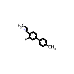 Cc1ccc(-c2ccc(/C=C/C(F)(F)F)c(F)c2)cc1